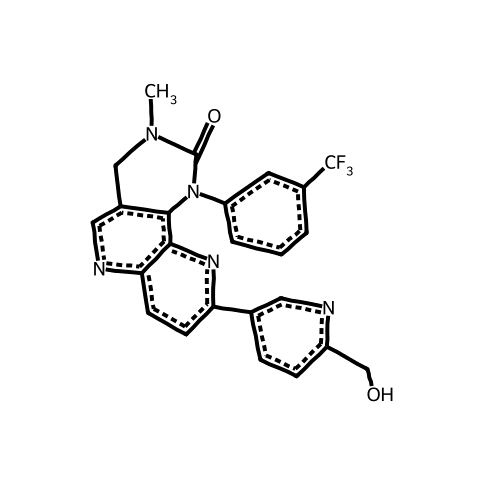 CN1Cc2cnc3ccc(-c4ccc(CO)nc4)nc3c2N(c2cccc(C(F)(F)F)c2)C1=O